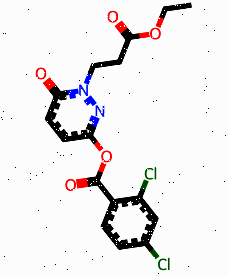 CCOC(=O)CCn1nc(OC(=O)c2ccc(Cl)cc2Cl)ccc1=O